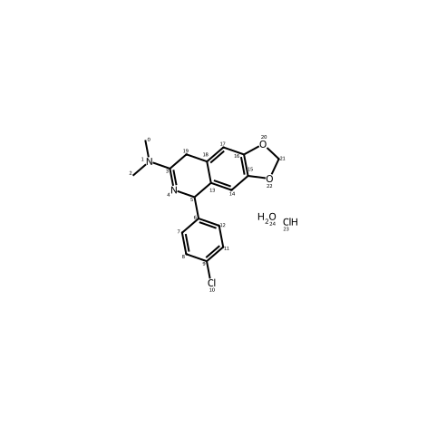 CN(C)C1=NC(c2ccc(Cl)cc2)c2cc3c(cc2C1)OCO3.Cl.O